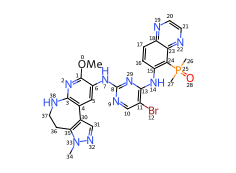 COc1nc2c(cc1Nc1ncc(Br)c(Nc3ccc4nccnc4c3P(C)(C)=O)n1)-c1cnn(C)c1CCN2